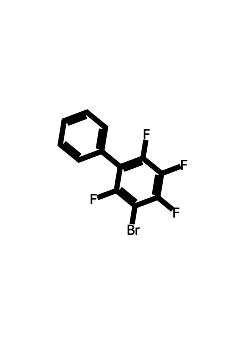 Fc1c(F)c(Br)c(F)c(-c2ccccc2)c1F